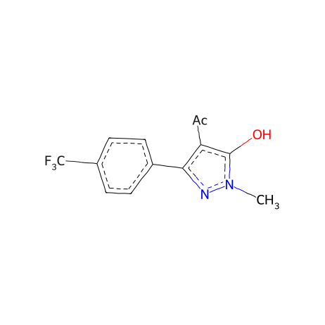 CC(=O)c1c(-c2ccc(C(F)(F)F)cc2)nn(C)c1O